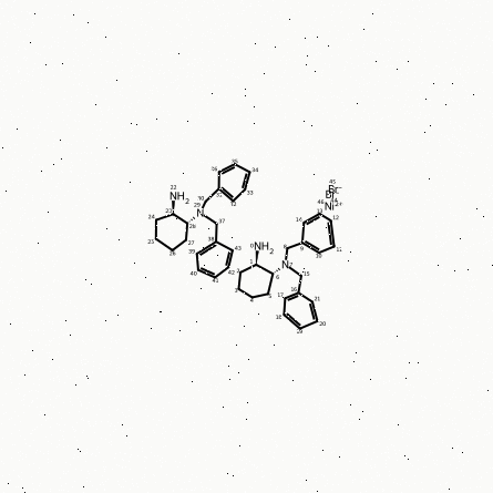 N[C@@H]1CCCC[C@H]1N(Cc1ccccc1)Cc1ccccc1.N[C@@H]1CCCC[C@H]1N(Cc1ccccc1)Cc1ccccc1.[Br-].[Br-].[Ni+2]